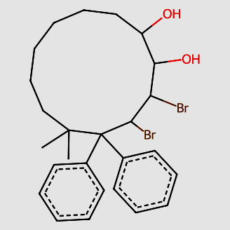 CC1(C)CCCCCCC(O)C(O)C(Br)C(Br)C1(c1ccccc1)c1ccccc1